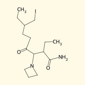 CCC(CI)CCC(=O)C(C(CC)C(N)=O)N1CCC1